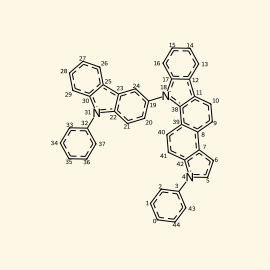 c1ccc(-n2ccc3c4ccc5c6ccccc6n(-c6ccc7c(c6)c6ccccc6n7-c6ccccc6)c5c4ccc32)cc1